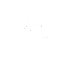 CCN1CCN(c2cc(Nc3ncc(-c4cncnc4)s3)nc(C)n2)CC1.Cl